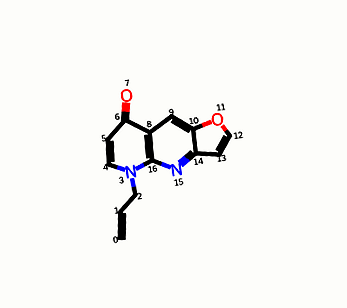 C=CCn1ccc(=O)c2cc3occc3nc21